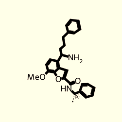 COc1ccc(C(N)CCCc2ccccc2)c2cc(C(=O)N[C@@H](C)c3ccccc3)oc12